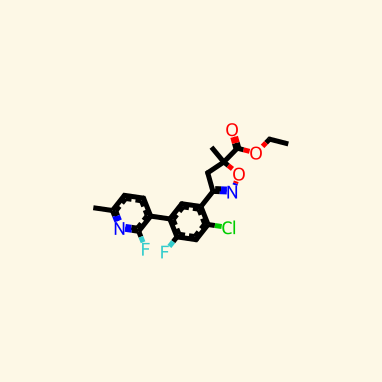 CCOC(=O)C1(C)CC(c2cc(-c3ccc(C)nc3F)c(F)cc2Cl)=NO1